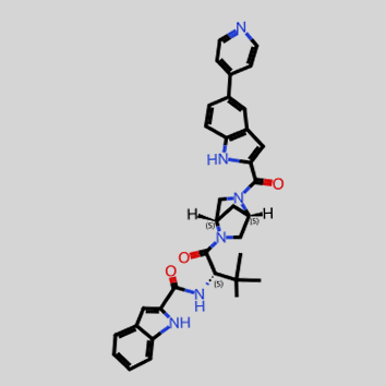 CC(C)(C)[C@H](NC(=O)c1cc2ccccc2[nH]1)C(=O)N1C[C@@H]2C[C@H]1CN2C(=O)c1cc2cc(-c3ccncc3)ccc2[nH]1